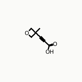 CC1(C#CC(=O)O)COC1